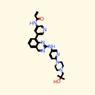 C=CC(=O)Nc1cncc(-c2cccc3cnc(Nc4ccc(N5CCN(CC(C)(C)O)CC5)nc4)nc23)c1